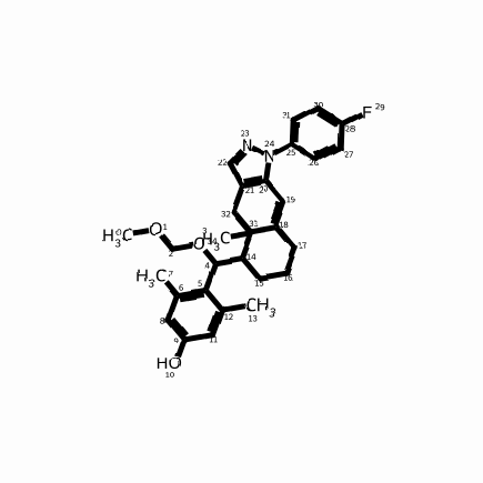 COCOC(c1c(C)cc(O)cc1C)C1CCCC2=Cc3c(cnn3-c3ccc(F)cc3)CC21C